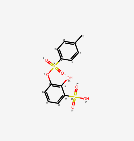 Cc1ccc(S(=O)(=O)Oc2cccc(S(=O)(=O)O)c2O)cc1